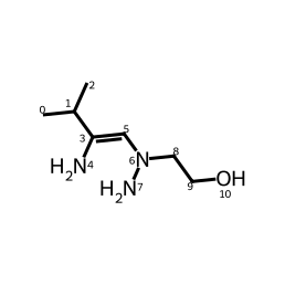 CC(C)/C(N)=C/N(N)CCO